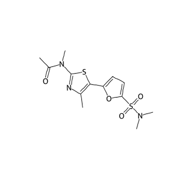 CC(=O)N(C)c1nc(C)c(-c2ccc(S(=O)(=O)N(C)C)o2)s1